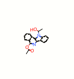 CC(=O)Oc1nc2c3ccccc3n(C(C)O)c2c2ccccc12